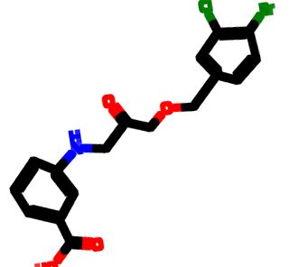 O=C(CNc1cccc(C(=O)O)c1)COCc1ccc(Br)c(Cl)c1